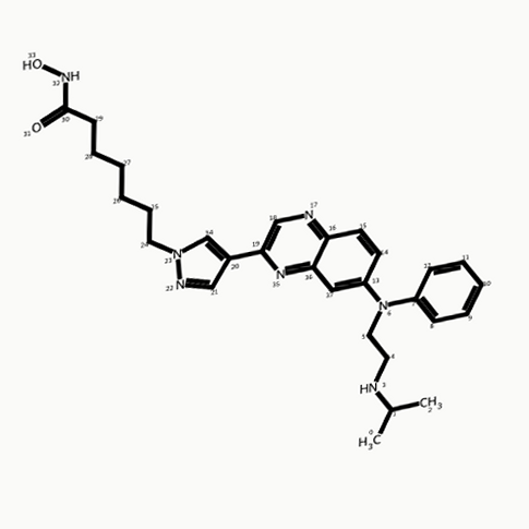 CC(C)NCCN(c1ccccc1)c1ccc2ncc(-c3cnn(CCCCCCC(=O)NO)c3)nc2c1